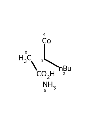 CC(=O)O.CCCC[CH2][Co].N